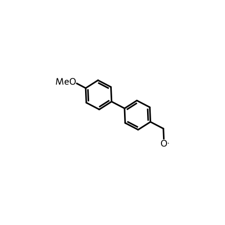 COc1ccc(-c2ccc(C[O])cc2)cc1